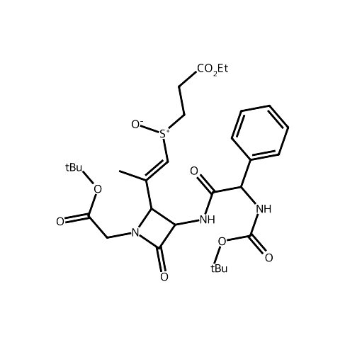 CCOC(=O)CC[S+]([O-])C=C(C)C1C(NC(=O)C(NC(=O)OC(C)(C)C)c2ccccc2)C(=O)N1CC(=O)OC(C)(C)C